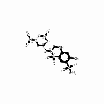 NS(=O)(=O)c1cc2c(cc1Cl)NCN(C[C@H](CO[N+](=O)[O-])O[N+](=O)[O-])S2(=O)=O